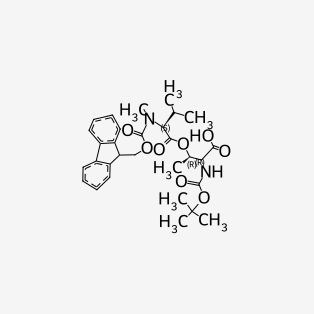 CC(C)[C@@H](C(=O)O[C@H](C)[C@@H](NC(=O)OC(C)(C)C)C(=O)O)N(C)C(=O)OCC1c2ccccc2-c2ccccc21